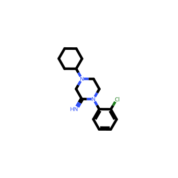 N=C1CN(C2CCCCC2)CCN1c1ccccc1Cl